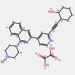 CCN1CCN(c2nc(-c3ccnc(C#CC4CCCCC4O)c3)cc3ccccc23)CC1.O=C(O)C(=O)O